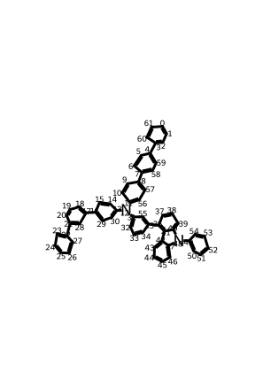 c1ccc(-c2ccc(-c3ccc(N(c4ccc(-c5cccc(-c6ccccc6)c5)cc4)c4cccc(-c5cccc6c5c5ccccc5n6-c5ccccc5)c4)cc3)cc2)cc1